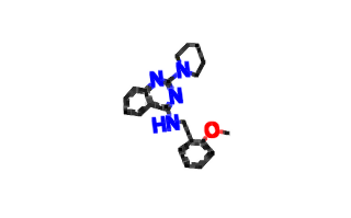 COc1ccccc1CNc1nc(N2CCCCC2)nc2ccccc12